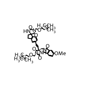 COc1ccc2c(c1)C(=O)N(C[C@@]1(C#Cc3ccc4c(c3)CCC43NC(=O)N(COCC[Si](C)(C)C)C3=O)NC(=O)N(COCC[Si](C)(C)C)C1=O)C2